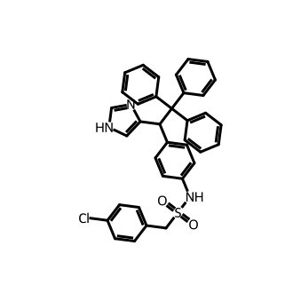 O=S(=O)(Cc1ccc(Cl)cc1)Nc1ccc(C(c2c[nH]cn2)C(c2ccccc2)(c2ccccc2)c2ccccc2)cc1